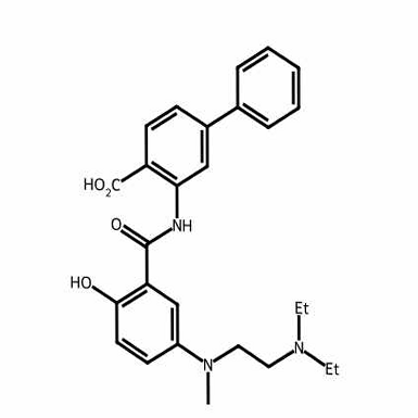 CCN(CC)CCN(C)c1ccc(O)c(C(=O)Nc2cc(-c3ccccc3)ccc2C(=O)O)c1